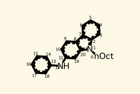 CCCCCCCCn1c2ccccc2c2ccc(Nc3ccccc3)cc21